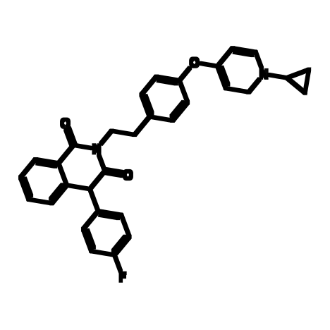 O=C1c2ccccc2C(c2ccc(F)cc2)C(=O)N1CCc1ccc(OC2=CCN(C3CC3)C=C2)cc1